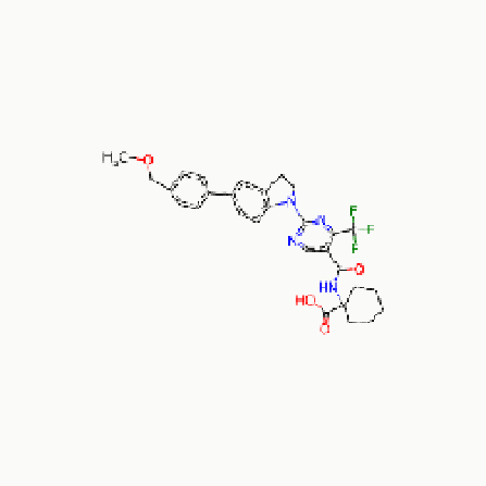 COCc1ccc(-c2ccc3c(c2)CCN3c2ncc(C(=O)NC3(C(=O)O)CCCCC3)c(C(F)(F)F)n2)cc1